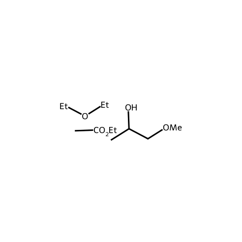 CCOC(C)=O.CCOCC.COCC(C)O